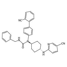 N#Cc1ccc(N[C@H]2CC[C@H](N(C(=O)NCc3ccccc3)c3ccc(-c4ccccc4C#N)cc3)CC2)nc1